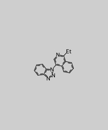 CCc1ncc(-n2nnc3ccccc32)c2ccccc12